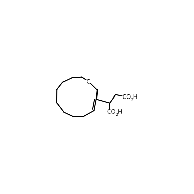 O=C(O)CC(C(=O)O)C1=CCCCCCCCCCC1